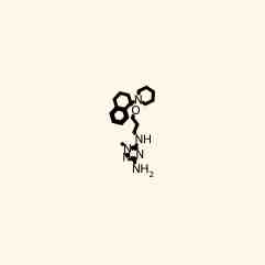 Cn1nc(N)nc1NCCCOC1(N2CCCCC2)CCCc2ccccc21